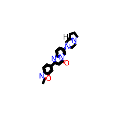 Cc1nc2ccc(-c3cc(=O)n4cc(N5CCN6CCC[C@H]6C5)ccc4n3)cc2o1